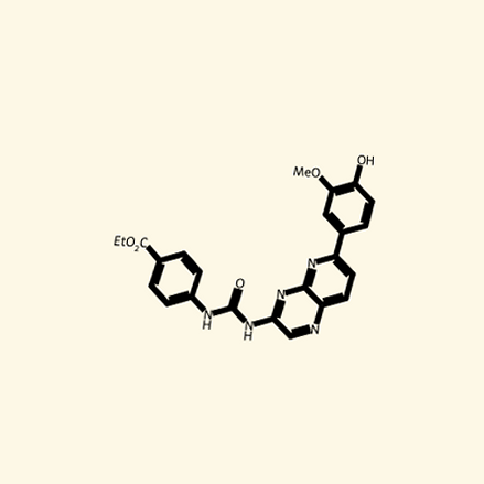 CCOC(=O)c1ccc(NC(=O)Nc2cnc3ccc(-c4ccc(O)c(OC)c4)nc3n2)cc1